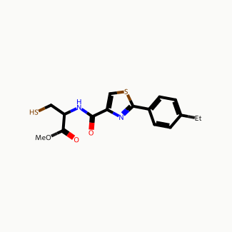 CCc1ccc(-c2nc(C(=O)NC(CS)C(=O)OC)cs2)cc1